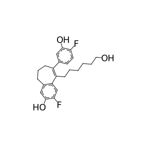 OCCCCCCC1=C(c2ccc(F)c(O)c2)CCCc2cc(O)c(F)cc21